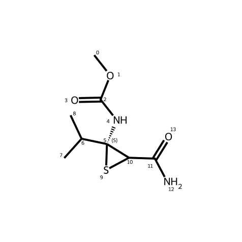 COC(=O)N[C@@]1(C(C)C)SC1C(N)=O